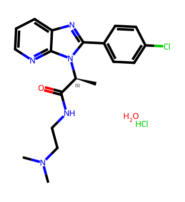 C[C@@H](C(=O)NCCN(C)C)n1c(-c2ccc(Cl)cc2)nc2cccnc21.Cl.O